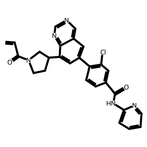 C=CC(=O)N1CCC(c2cc(-c3ccc(C(=O)Nc4ccccn4)cc3Cl)cc3cncnc23)C1